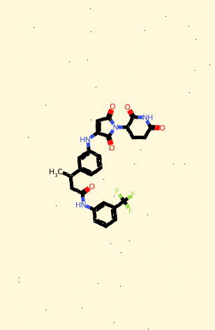 CC(CC(=O)Nc1cccc(C(F)(F)F)c1)c1cccc(NC2=CC(=O)N(C3CCC(=O)NC3=O)C2=O)c1